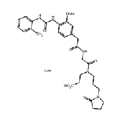 COc1cc(CC(=O)NCC(=O)N(CCCN2CCCC2=O)CCC(=O)O)ccc1NC(=O)Nc1ccccc1C.[NaH]